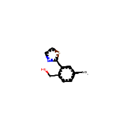 O=[N+]([O-])c1ccc(CO)c(-c2nccs2)c1